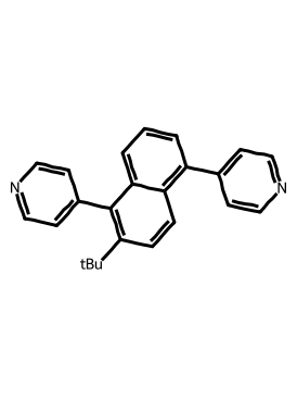 CC(C)(C)c1ccc2c(-c3ccncc3)cccc2c1-c1ccncc1